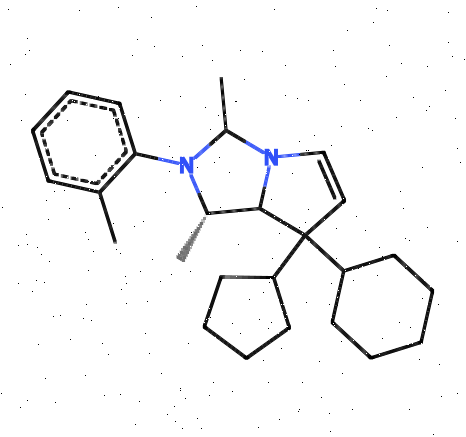 Cc1ccccc1N1C(C)N2C=CC(C3CCCCC3)(C3CCCC3)C2[C@@H]1C